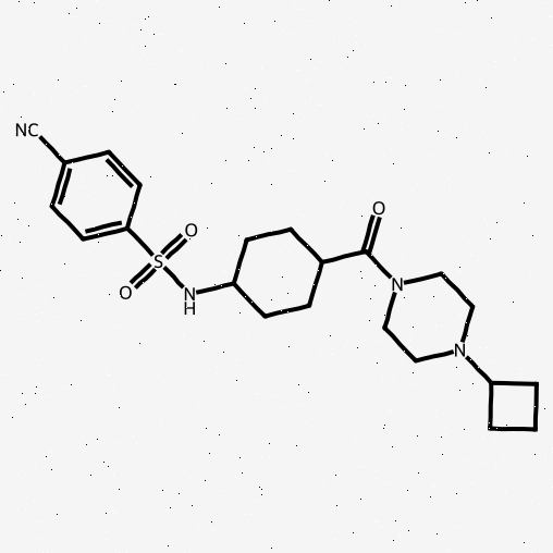 N#Cc1ccc(S(=O)(=O)NC2CCC(C(=O)N3CCN(C4CCC4)CC3)CC2)cc1